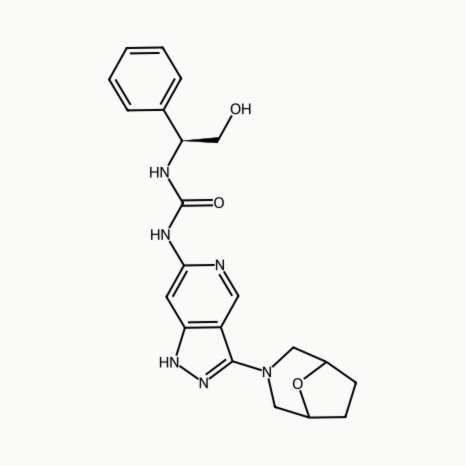 O=C(Nc1cc2[nH]nc(N3CC4CCC(C3)O4)c2cn1)N[C@H](CO)c1ccccc1